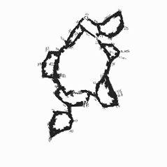 c1ccc(-c2cc3nc(n2)c2cccc(c2)c2cccc(c2)n2c4ccccc4oc4ccc(cc4-2)c2cccc3c2)cc1